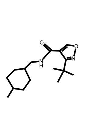 CC1CCC(CNC(=O)c2conc2C(C)(C)C)CC1